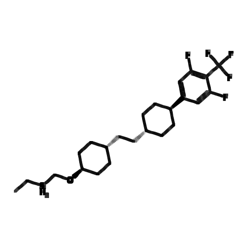 CC[SiH2]CO[C@H]1CC[C@H](CC[C@H]2CC[C@H](c3cc(F)c(C(F)(F)F)c(F)c3)CC2)CC1